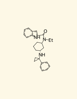 CCN(C(=O)c1cc2ccccc2[nH]1)C1CCC[C@@H](NC2(c3ccccc3)CC2)C1